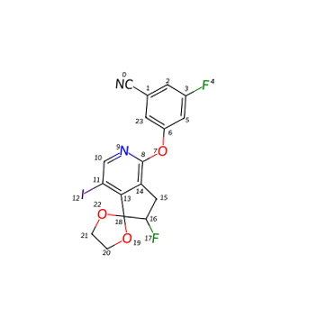 N#Cc1cc(F)cc(Oc2ncc(I)c3c2CC(F)C32OCCO2)c1